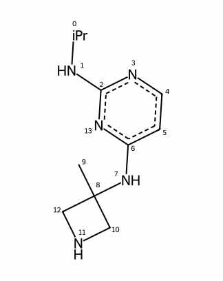 CC(C)Nc1nccc(NC2(C)CNC2)n1